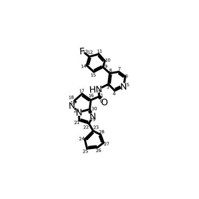 O=C(Nc1cnccc1-c1ccc(F)cc1)c1ccnn2cc(-c3ccccc3)nc12